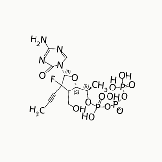 CC#CC1(F)C(CO)[C@@H]([C@@H](C)OP(=O)(O)OP(=O)(O)OP(=O)(O)O)O[C@H]1n1cnc(N)nc1=O